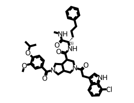 CNC(=O)[C@H](CCCc1ccccc1)NC(=O)C1CN(C(=O)Cc2c[nH]c3c(Cl)cccc23)CC2CN(C(=O)c3ccc(OC(C)C)c(OC)c3)CC21